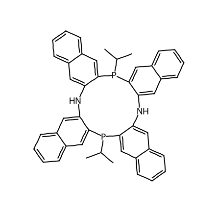 CC(C)P1c2cc3ccccc3cc2Nc2cc3ccccc3cc2P(C(C)C)c2cc3ccccc3cc2Nc2cc3ccccc3cc21